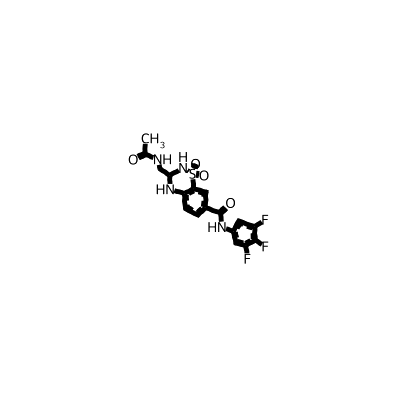 CC(=O)NCC1Nc2ccc(C(=O)Nc3cc(F)c(F)c(F)c3)cc2S(=O)(=O)N1